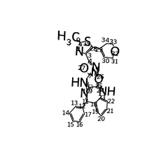 Cc1nc(-c2nnc(N[C@H]3N=C(c4ccccc4)c4ccccc4NC3=O)o2)c(C2=CCOCC2)s1